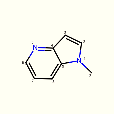 Cn1ccc2n[c]ccc21